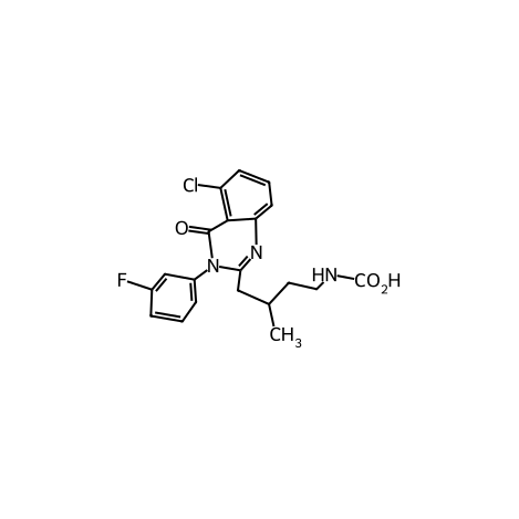 CC(CCNC(=O)O)Cc1nc2cccc(Cl)c2c(=O)n1-c1cccc(F)c1